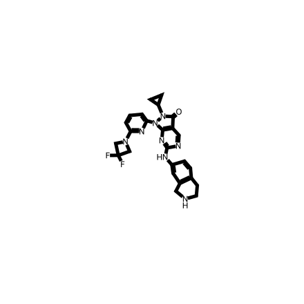 O=c1c2cnc(Nc3ccc4c(c3)CNCC4)nc2n(-c2cccc(N3CC(F)(F)C3)n2)n1C1CC1